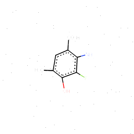 Cc1cc(C(=O)O)c(N)c(F)c1O